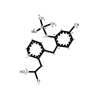 CCC(Cc1ncccc1Cc1ccc(C#N)cc1O[Si](C)(C)C(C)(C)C)C(=O)O